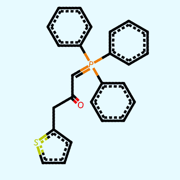 O=C(C=P(c1ccccc1)(c1ccccc1)c1ccccc1)Cc1cccs1